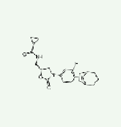 O=C(NC[C@H]1CN(c2ccc(N3C4CCCC3CC4)c(F)c2)C(=O)O1)C1CC1